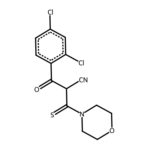 N#CC(C(=O)c1ccc(Cl)cc1Cl)C(=S)N1CCOCC1